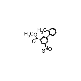 COC(=O)c1cc(-c2ccccc2C)cc([N+](=O)[O-])c1